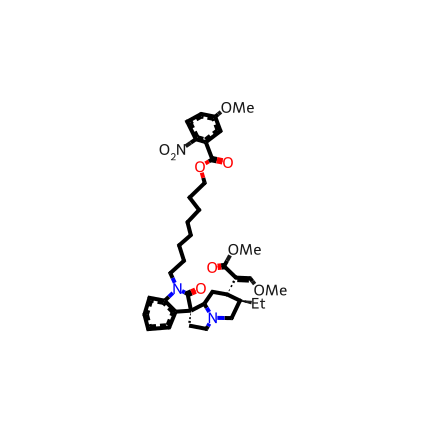 CC[C@H]1CN2CC[C@]3(C(=O)N(CCCCCCCCOC(=O)c4cc(OC)ccc4[N+](=O)[O-])c4ccccc43)C2C[C@@H]1/C(=C\OC)C(=O)OC